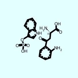 Nc1ccccc1C(=O)C[C@H](N)C(=O)O.O=S(=O)(O)Oc1c[nH]c2ccccc12